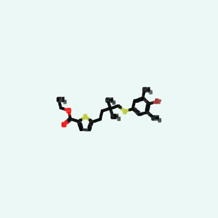 CCOC(=O)c1ccc(CCC(C)(C)CSc2cc(C)c(Br)c(C)c2)s1